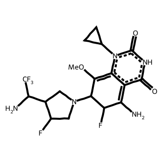 COC1=c2c(c(=O)[nH]c(=O)n2C2CC2)=C(N)C(F)C1N1CC(F)C(C(N)C(F)(F)F)C1